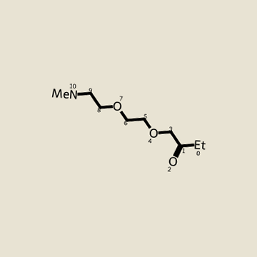 CCC(=O)COCCOCCNC